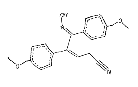 COc1ccc(C(=CCC#N)C(=NO)c2ccc(OC)cc2)cc1